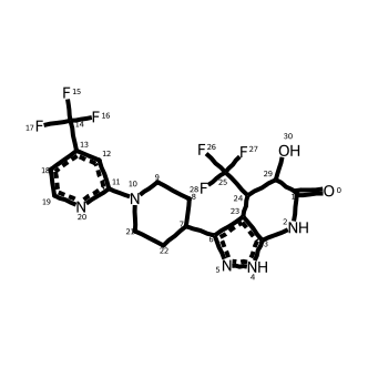 O=C1Nc2[nH]nc(C3CCN(c4cc(C(F)(F)F)ccn4)CC3)c2C(C(F)(F)F)C1O